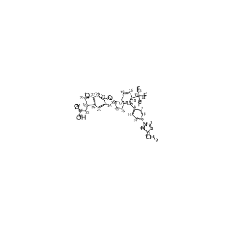 Cc1ccn(-c2ccc(-c3c(C(F)(F)F)ccc4c3CC[C@H]4Oc3ccc4c(c3)OCC4CC(=O)O)cc2)n1